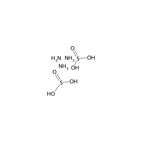 N.N.N.O=S(O)O.O=S(O)O